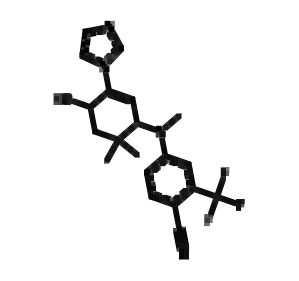 CN(c1ccc(C#N)c(C(F)(F)F)c1)C1C=C(n2ccnc2)C(O)CC1(C)C